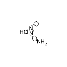 Cl.N[C@H]1CC[C@H](CN2CCN(Cc3ccccc3)CC2)CC1